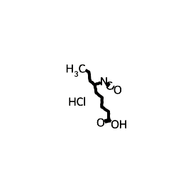 CCCC(CCCCC(=O)O)N=C=O.Cl